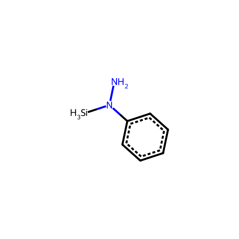 NN([SiH3])c1ccccc1